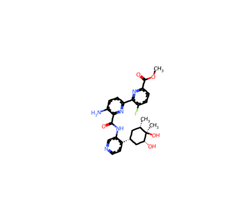 COC(=O)c1ccc(F)c(-c2ccc(N)c(C(=O)Nc3cnccc3[C@H]3C[C@@H](O)[C@](C)(O)[C@@H](C)C3)n2)n1